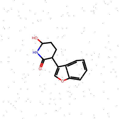 O=C1NC(O)CCC1c1coc2ccccc12